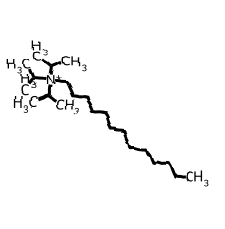 CCCCCCCCCCCCC[N+](C(C)C)(C(C)C)C(C)C